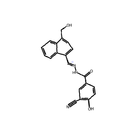 N#Cc1cc(C(=O)N/N=C/c2ccc(CO)c3ccccc23)ccc1O